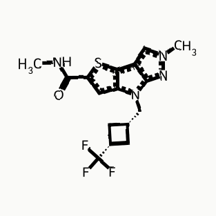 CNC(=O)c1cc2c(s1)c1cn(C)nc1n2C[C@H]1C[C@@H](C(F)(F)F)C1